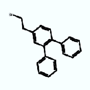 BrCCc1ccc(-c2ccccc2)c(-c2ccccc2)c1